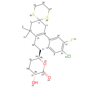 CC1(C)CC2(CC(c3ccc(Cl)c(F)c3)=C1CC[C@@H]1CC[C@@H](O)C(=O)O1)SCCCS2